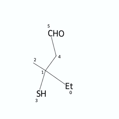 CCC(C)(S)CC=O